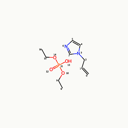 C=CCn1ccnc1.CCOP(=O)(O)OCC